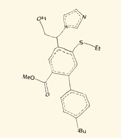 CCSc1cc(-c2ccc(C(C)CC)cc2)c(C(=O)OC)cc1C(CO)n1ccnc1